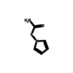 NC(=O)Sn1cccc1